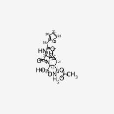 CC(=O)OC(N)C1=C(C(=O)O)N2C(=O)[C@H](NC(=O)Cc3cccs3)[C@H]2SC1